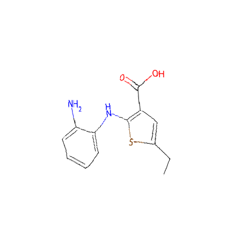 CCc1cc(C(=O)O)c(Nc2ccccc2N)s1